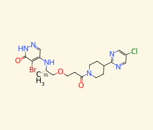 C[C@@H](COCCC(=O)N1CCC(c2ncc(Cl)cn2)CC1)Nc1cn[nH]c(=O)c1Br